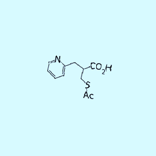 CC(=O)SCC(Cc1ccccn1)C(=O)O